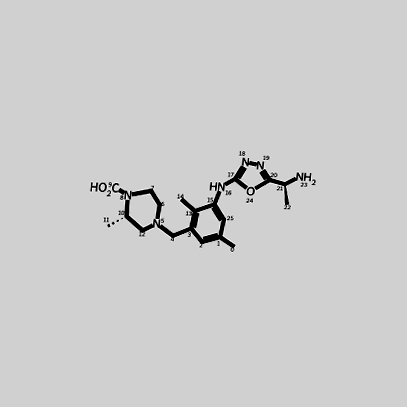 Cc1cc(CN2CCN(C(=O)O)[C@@H](C)C2)c(C)c(Nc2nnc([C@H](C)N)o2)c1